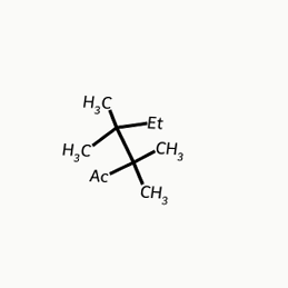 CCC(C)(C)C(C)(C)C(C)=O